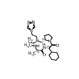 CCN(CCn1cnnc1)C[C@@H]1CCCN1C(=O)[C@@H](NC(=O)[C@H](C)NC)C1CCCCC1